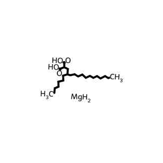 CCCCCCCCCCCCC(CCCCCCC)CC(C(=O)O)C(=O)O.[MgH2]